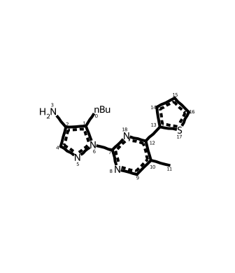 CCCCc1c(N)cnn1-c1ncc(C)c(-c2cccs2)n1